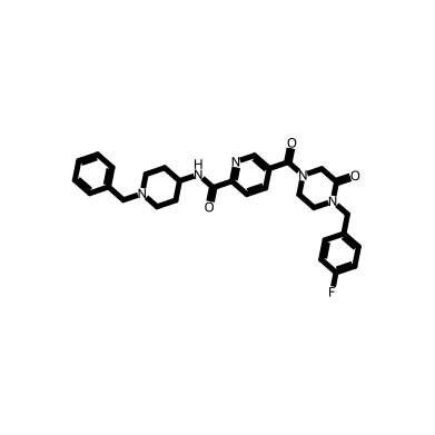 O=C(NC1CCN(Cc2ccccc2)CC1)c1ccc(C(=O)N2CCN(Cc3ccc(F)cc3)C(=O)C2)cn1